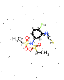 CCS(=O)(=O)N(c1ccc(F)c(N=C=S)c1)S(=O)(=O)CC